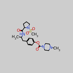 CC(Cc1ccc(OC(=O)N2CCN(C)CC2)cc1)NC(=O)C1CCCN1S(C)(=O)=O